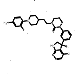 CCC1(c2cccc(N3CCCN(CCC4CCN(c5ccc(N)cc5F)CC4)C3=O)c2)CNc2nccc(Cl)c21